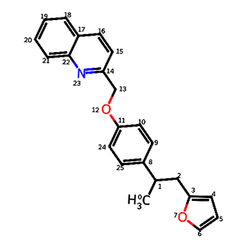 CC(Cc1ccco1)c1ccc(OCc2ccc3ccccc3n2)cc1